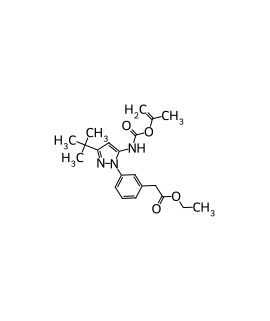 C=C(C)OC(=O)Nc1cc(C(C)(C)C)nn1-c1cccc(CC(=O)OCC)c1